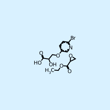 CCOC(=O)C1CO1.O=C(O)C(O)COc1ccc(Br)nc1